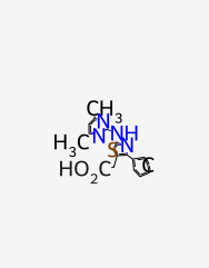 Cc1cc(C)nc(Nc2nc(-c3ccccc3)c(CC(=O)O)s2)n1